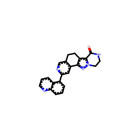 O=C1NCCn2nc3c(c21)CCc1cnc(-c2cccc4ncccc24)cc1-3